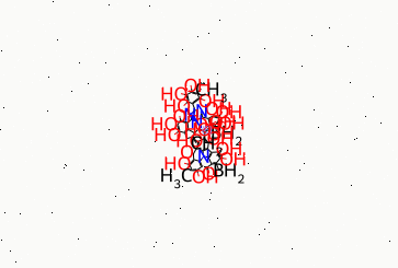 Bc1c(O)c(O)c(O)c(-c2nc(-c3c(O)c(C)c(O)c(O)c3O)nc(-c3c(O)c(O)c(O)c4c3C(C(O)/C(=C(/O)CO)c3c(O)c5c(=O)c6c(O)c(C)c(O)c7c(=O)c8c(B)c(O)c(O)c9c(c3O)c5n(c76)c89)C(=C)C4)n2)c1O